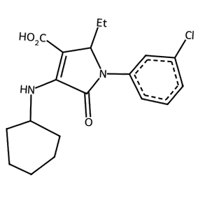 CCC1C(C(=O)O)=C(NC2CCCCC2)C(=O)N1c1cccc(Cl)c1